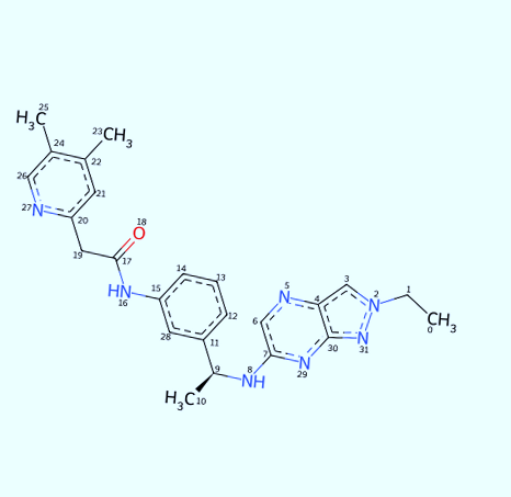 CCn1cc2ncc(N[C@@H](C)c3cccc(NC(=O)Cc4cc(C)c(C)cn4)c3)nc2n1